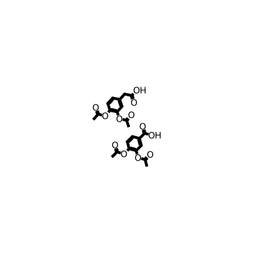 CC(=O)Oc1ccc(C(=O)O)cc1OC(C)=O.CC(=O)Oc1ccc(CC(=O)O)cc1OC(C)=O